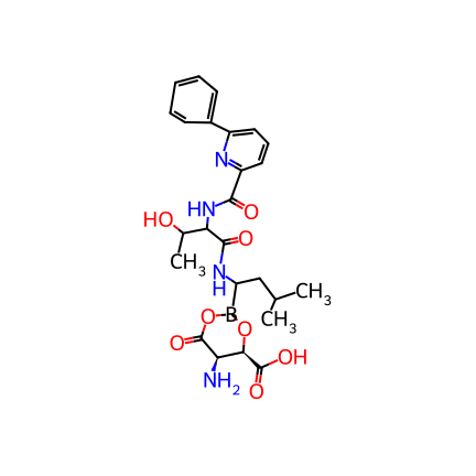 CC(C)CC(NC(=O)C(NC(=O)c1cccc(-c2ccccc2)n1)C(C)O)B1OC(=O)[C@H](N)[C@H](C(=O)O)O1